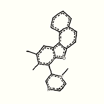 Cc1cc2c(oc3ccc4ccccc4c32)c(-c2cncc[n+]2C)c1C